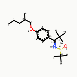 CCCC(C)COc1ccc(/C(=N/[S@@+]([O-])C(C)(C)C)C(C)(C)C)cc1